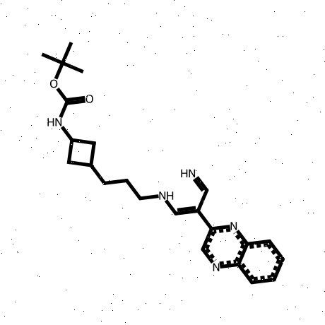 CC(C)(C)OC(=O)NC1CC(CCCN/C=C(\C=N)c2cnc3ccccc3n2)C1